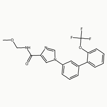 COCNC(=O)c1cn(-c2cccc(-c3ccccc3OC(F)(F)F)c2)cn1